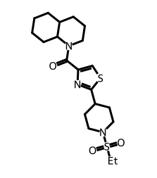 CCS(=O)(=O)N1CCC(c2nc(C(=O)N3CCCC4CCCCC43)cs2)CC1